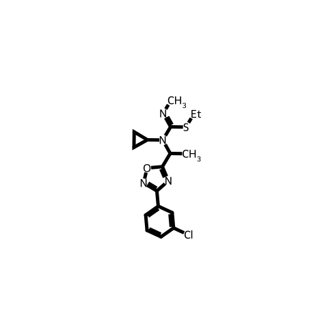 CCSC(=NC)N(C1CC1)C(C)c1nc(-c2cccc(Cl)c2)no1